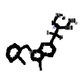 Cc1ccccc1Cn1nc(C)c2ccc(C(F)(F)/C(=N/N)NN)cc21